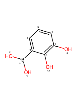 OB(O)c1cccc(O)c1O